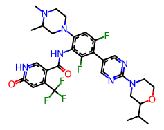 CC(C)C1CN(c2ncc(-c3c(F)cc(N4CCN(C)C(C)C4)c(NC(=O)c4c[nH]c(=O)cc4C(F)(F)F)c3F)cn2)CCO1